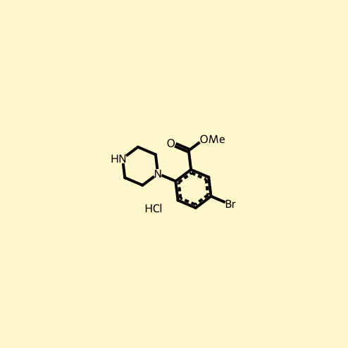 COC(=O)c1cc(Br)ccc1N1CCNCC1.Cl